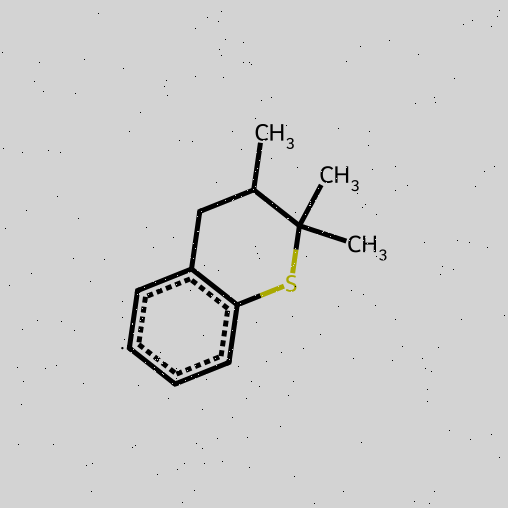 CC1Cc2c[c]ccc2SC1(C)C